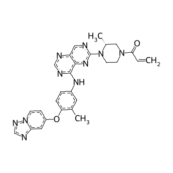 C=CC(=O)N1CCN(c2ncc3ncnc(Nc4ccc(Oc5ccn6ncnc6c5)c(C)c4)c3n2)[C@H](C)C1